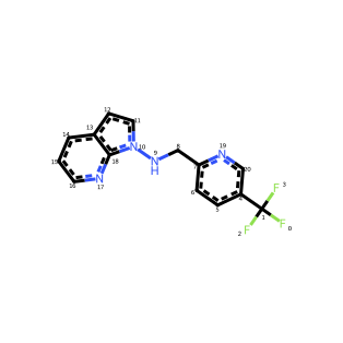 FC(F)(F)c1ccc(CNn2ccc3cccnc32)nc1